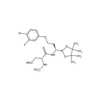 COCC(NC(=O)O)C(=O)N[C@@H](CCOc1ccc(Cl)c(F)c1)B1OC(C)(C)C(C)(C)O1